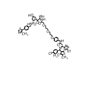 CCc1nnc2n1-c1sc(C)c(C)c1C(c1ccc(Cl)cc1)=N[C@H]2CC(=O)Nc1ccc(OCCCOCCCOCC(=O)NC(C(=O)N2C[C@H](O)C[C@H]2C(=O)NCc2ccc(-c3scnc3C)cc2)C(C)(C)C)cc1